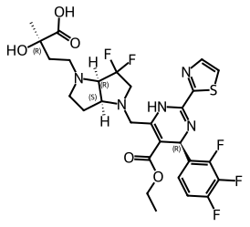 CCOC(=O)C1=C(CN2CC(F)(F)[C@H]3[C@@H]2CCN3CC[C@@](C)(O)C(=O)O)NC(c2nccs2)=N[C@H]1c1ccc(F)c(F)c1F